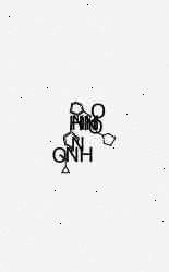 O=C(NOCC1CCCC1)c1ccccc1NCc1ccc(NC(=O)C2CC2)nc1